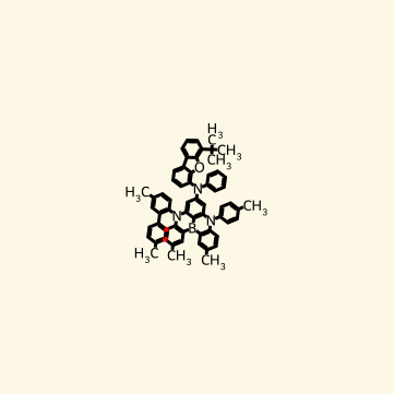 Cc1ccc(-c2cc(C)ccc2N2c3ccc(C)cc3B3c4cc(C)ccc4N(c4ccc(C)cc4)c4cc(N(c5ccccc5)c5cccc6c5oc5c(C(C)(C)C)cccc56)cc2c43)cc1